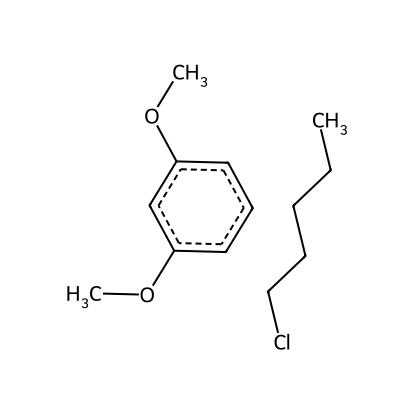 CCCCCCl.COc1cccc(OC)c1